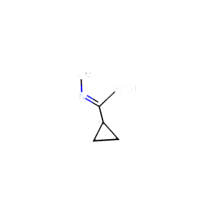 CON=C(C(=O)O)C1CC1